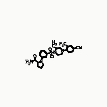 C[C@@H]1CN(c2ccc(C#N)cc2C(F)(F)F)CCN1S(=O)(=O)c1cccc(N2CCCC2C(N)=O)c1